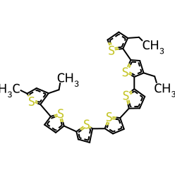 CCc1ccsc1-c1cc(CC)c(-c2ccc(-c3ccc(-c4ccc(-c5ccc(-c6sc(C)cc6CC)s5)s4)s3)s2)s1